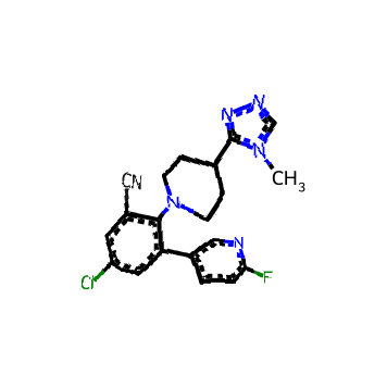 Cn1cnnc1C1CCN(c2c(C#N)cc(Cl)cc2-c2ccc(F)nc2)CC1